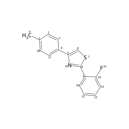 Cc1ccc(-c2csc(-c3ccccc3F)n2)cc1